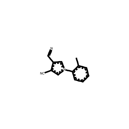 Cc1ccccc1-n1cc(C#N)c(C=[N])c1